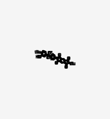 CC(C)(C)c1ccc(C(c2ccc(N3C(=O)C4CC5C(=O)N(C(C)(C)C)C(=O)C5CC4C3=O)cc2)(C(F)(F)F)C(F)(F)F)cc1O